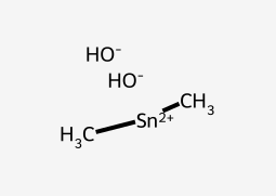 [CH3][Sn+2][CH3].[OH-].[OH-]